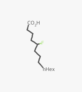 CCCCCCCCCC(F)CCCC(=O)O